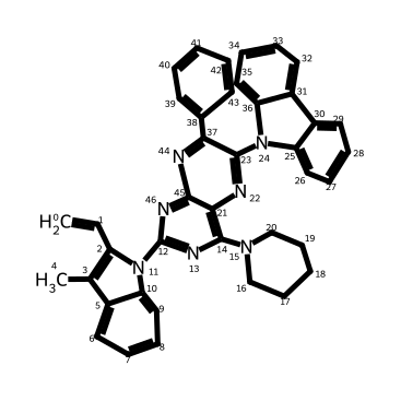 C=Cc1c(C)c2ccccc2n1-c1nc(N2CCCCC2)c2nc(-n3c4ccccc4c4ccccc43)c(-c3ccccc3)nc2n1